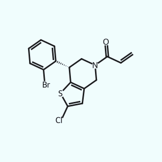 C=CC(=O)N1Cc2cc(Cl)sc2[C@H](c2ccccc2Br)C1